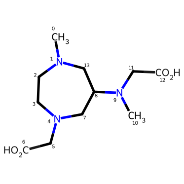 CN1CCN(CC(=O)O)CC(N(C)CC(=O)O)C1